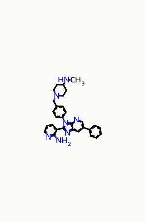 CNC1CCN(Cc2ccc(-n3c(-c4cccnc4N)nc4cc(-c5ccccc5)cnc43)cc2)CC1